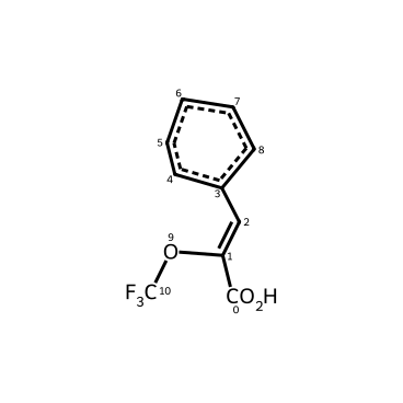 O=C(O)C(=Cc1ccccc1)OC(F)(F)F